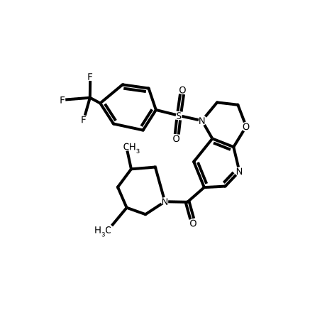 CC1CC(C)CN(C(=O)c2cnc3c(c2)N(S(=O)(=O)c2ccc(C(F)(F)F)cc2)CCO3)C1